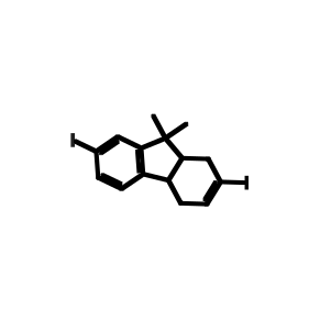 CC1(C)c2cc(I)ccc2C2CC=C(I)CC21